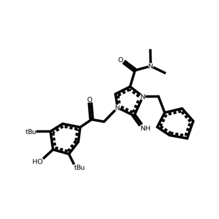 CN(C)C(=O)c1cn(CC(=O)c2cc(C(C)(C)C)c(O)c(C(C)(C)C)c2)c(=N)n1Cc1ccccc1